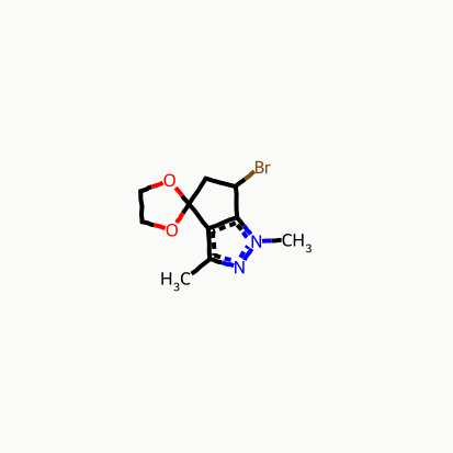 Cc1nn(C)c2c1C1(CC2Br)OCCO1